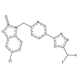 O=c1oc2cc(Cl)ccc2n1Cc1ccc(-c2nnc(C(F)F)o2)cn1